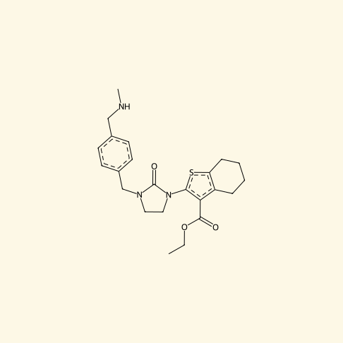 CCOC(=O)c1c(N2CCN(Cc3ccc(CNC)cc3)C2=O)sc2c1CCCC2